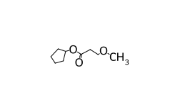 COCCC(=O)OC1CCCC1